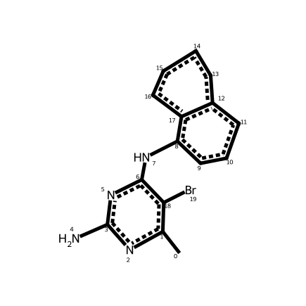 Cc1nc(N)nc(Nc2cccc3ccccc23)c1Br